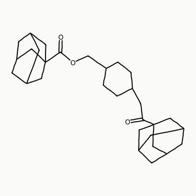 O=C(CC1CCC(COC(=O)C23CC4CC(CC(C4)C2)C3)CC1)C12CC3CC(CC(C3)C1)C2